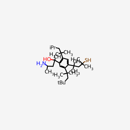 CC(C)CC(C)(C)c1cc(C(C)(C)CC(C)(C)S)c(C(C)(C)CC(C)(C)C)cc1C(C)(O)CC(C)N